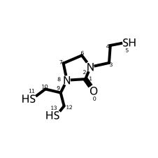 O=C1N(CCS)CCN1C(CS)CS